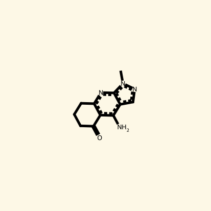 Cn1ncc2c(N)c3c(nc21)CCCC3=O